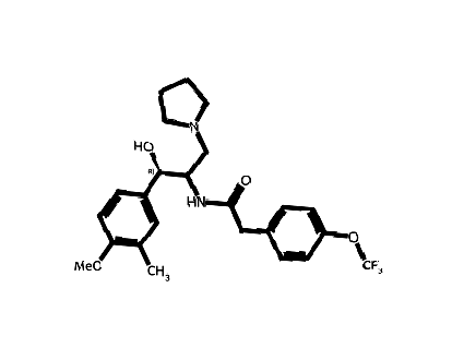 COc1ccc([C@@H](O)C(CN2CCCC2)NC(=O)Cc2ccc(OC(F)(F)F)cc2)cc1C